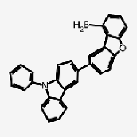 Bc1cccc2oc3ccc(-c4ccc5c(c4)c4ccccc4n5-c4ccccc4)cc3c12